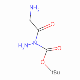 CC(C)(C)OC(=O)N(N)C(=O)CN